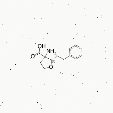 NC1(C(=O)O)CCO[C@H]1CCc1ccccc1